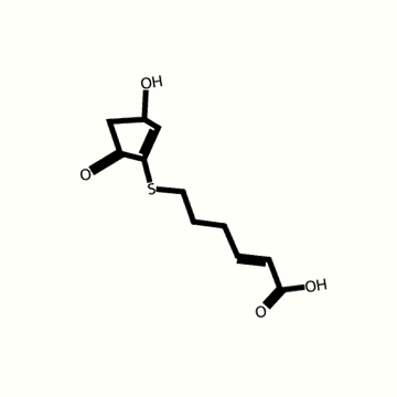 O=C(O)C=CCCCSC1=CC(O)CC1=O